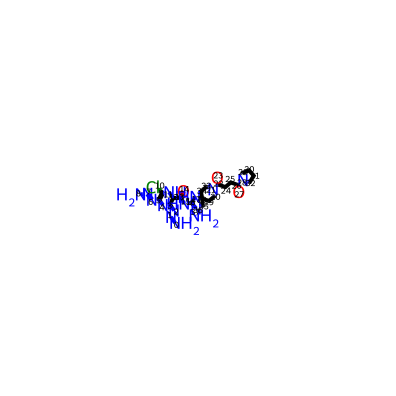 NN=NC1=NC(N=NN)=C(Cl)NC1C(=O)NC1NC2(CCN(C(=O)CCC(=O)N3CCCC3)CC2)CN1N